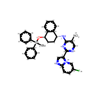 CC(C)(C)[Si](O[C@@H]1CC[C@@H](Nc2nc(-c3cnc4ccc(F)cn34)ncc2[N+](=O)[O-])c2ccccc21)(c1ccccc1)c1ccccc1